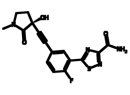 CN1CC[C@@](O)(C#Cc2ccc(F)c(-c3nc(C(N)=O)ns3)c2)C1=O